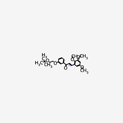 COc1cc(/C=C/C(=O)c2cccc(OCCOC(C)(C)C)c2)c(OC)c(OC)c1